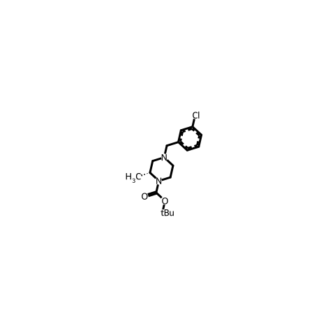 C[C@@H]1CN(Cc2cccc(Cl)c2)CCN1C(=O)OC(C)(C)C